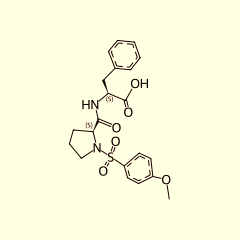 COc1ccc(S(=O)(=O)N2CCC[C@H]2C(=O)N[C@@H](Cc2ccccc2)C(=O)O)cc1